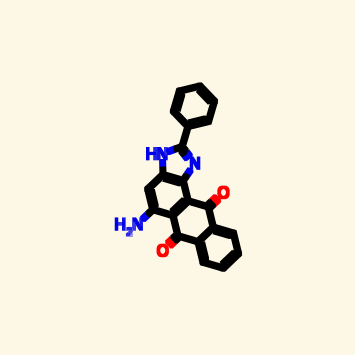 Nc1cc2[nH]c(-c3ccccc3)nc2c2c1C(=O)c1ccccc1C2=O